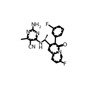 Cc1nc(N)nc(N[C@@H](C)c2cc3ccc(F)cn3c(=O)c2-c2cccc(F)c2)c1C#N